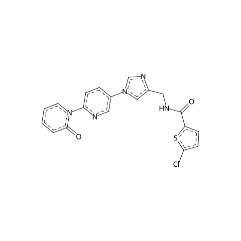 O=C(NCc1cn(-c2ccc(-n3ccccc3=O)nc2)cn1)c1ccc(Cl)s1